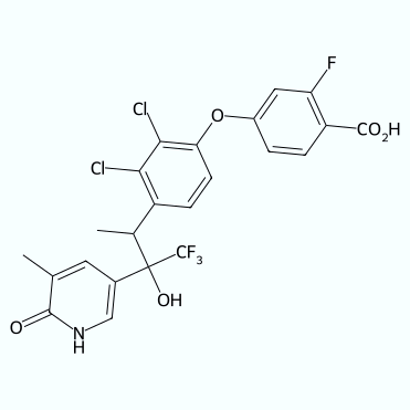 Cc1cc(C(O)(C(C)c2ccc(Oc3ccc(C(=O)O)c(F)c3)c(Cl)c2Cl)C(F)(F)F)c[nH]c1=O